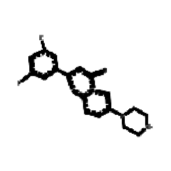 O=c1cc(-c2cc(F)cc(F)c2)nc2ccc(N3CCNCC3)cn12